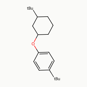 CC(C)(C)c1ccc(OC2CCCC(C(C)(C)C)C2)cc1